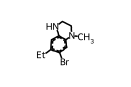 CCc1cc2c(cc1Br)N(C)CCN2